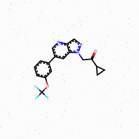 O=C(Cn1ncc2ncc(-c3cccc(OC(F)(F)F)c3)cc21)C1CC1